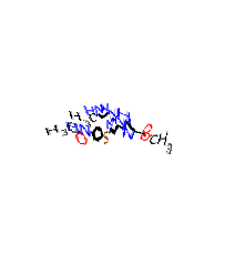 CCOC(=O)c1cn2c(Nc3cc(C)[nH]n3)nc(Sc3ccc(NC(C)=O)cc3)cc2n1